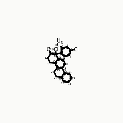 Cc1cc(Cl)ccc1C1(C)C(=O)CCc2c1ccc1c2CCc2ccccc2-1